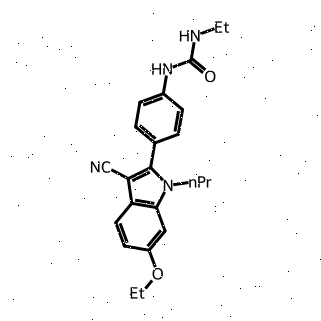 CCCn1c(-c2ccc(NC(=O)NCC)cc2)c(C#N)c2ccc(OCC)cc21